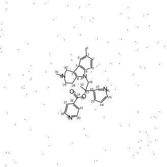 Cc1ccc2c(c1)c1c(n2CC(C)(OC(=O)c2ccncc2)c2cccnc2)CCN(C)C1